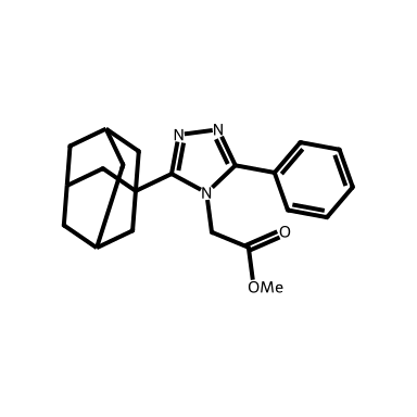 COC(=O)Cn1c(-c2ccccc2)nnc1C12CC3CC(CC(C3)C1)C2